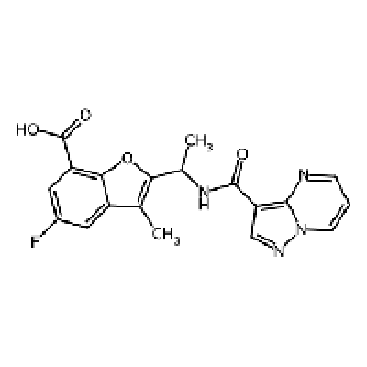 Cc1c(C(C)NC(=O)c2cnn3cccnc23)oc2c(C(=O)O)cc(F)cc12